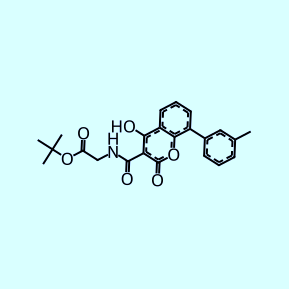 Cc1cccc(-c2cccc3c(O)c(C(=O)NCC(=O)OC(C)(C)C)c(=O)oc23)c1